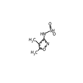 Cc1onc(N[SH](=O)=O)c1C